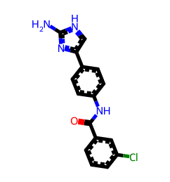 Nc1nc(-c2ccc(NC(=O)c3cccc(Cl)c3)cc2)c[nH]1